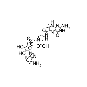 CC1(C)Nc2nc(N)[nH]c(=O)c2N=C1C(=O)NC1CCN(CCS(=O)(=O)C[C@H]2O[C@@H](n3cnc4c(N)ncnc43)[C@@H](O)C2O)C(C(=O)O)C1